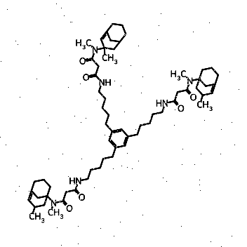 CC1C=C2CCCC(N(C)C(=O)CC(=O)NCCCCCc3cc(CCCCCNC(=O)CC(=O)N(C)C4(C)C=C5CCCC(C5)C4)cc(CCCCCNC(=O)CC(=O)N(C)C45CCCC(=CC(C)C4)C5)c3)(C2)C1